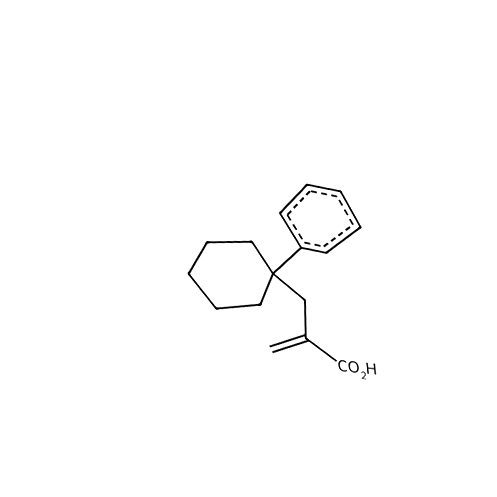 C=C(CC1(c2ccccc2)CCCCC1)C(=O)O